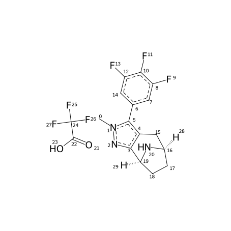 Cn1nc2c(c1-c1cc(F)c(F)c(F)c1)C[C@H]1CC[C@@H]2N1.O=C(O)C(F)(F)F